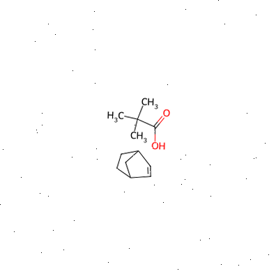 C1=CC2CCC1C2.CC(C)(C)C(=O)O